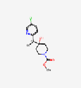 CC[C@@H](c1ccc(Cl)cn1)C1(O)CCN(C(=O)OC(C)(C)C)CC1